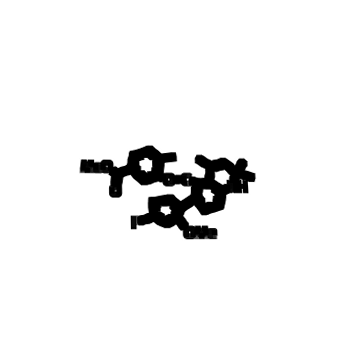 COC(=O)c1ccc(C)c(OCc2c(-c3ccc(F)cc3OC)ccc3c2C(C)=CC(C)(C)N3)c1